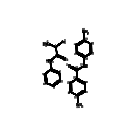 CC(=O)C(C)C(=O)Nc1ccccc1.Nc1ccc(NC(=O)c2ccc(N)cc2)cc1